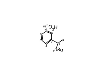 [CH2]C(CCCC)c1cccc(C(=O)O)c1